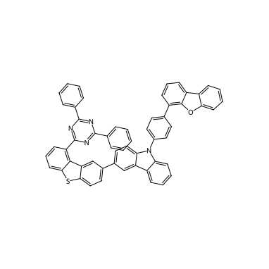 c1ccc(-c2nc(-c3ccccc3)nc(-c3cccc4sc5ccc(-c6ccc7c(c6)c6ccccc6n7-c6ccc(-c7cccc8c7oc7ccccc78)cc6)cc5c34)n2)cc1